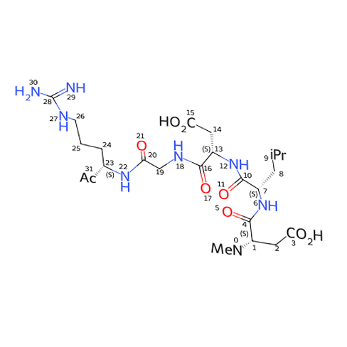 CN[C@@H](CC(=O)O)C(=O)N[C@@H](CC(C)C)C(=O)N[C@@H](CC(=O)O)C(=O)NCC(=O)N[C@@H](CCCNC(=N)N)C(C)=O